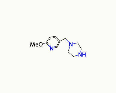 COc1ccc(CN2CCNCC2)cn1